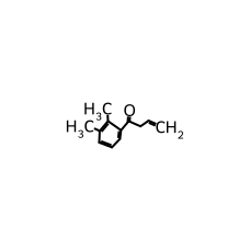 C=CCC(=O)c1cccc(C)c1C